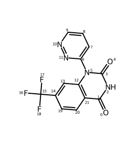 O=c1[nH]c(=O)n(-c2cccnn2)c2cc(C(F)(F)F)ccc12